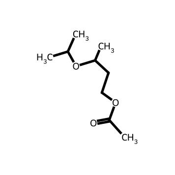 CC(=O)OCCC(C)OC(C)C